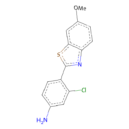 COc1ccc2nc(-c3ccc(N)cc3Cl)sc2c1